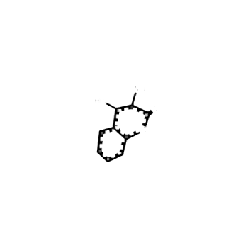 O=Nc1c(O)c2ccccc2oc1=O